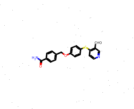 NC(=O)c1ccc(COc2ccc(Sc3ccncc3C=O)cc2)cc1